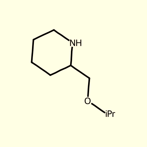 CC(C)OCC1CCCCN1